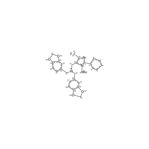 CCCCn1c(-c2ccccc2)nc(C(F)(F)F)c1CN(Cc1ccc2c(c1)OCO2)Cc1ccc2c(c1)OCO2